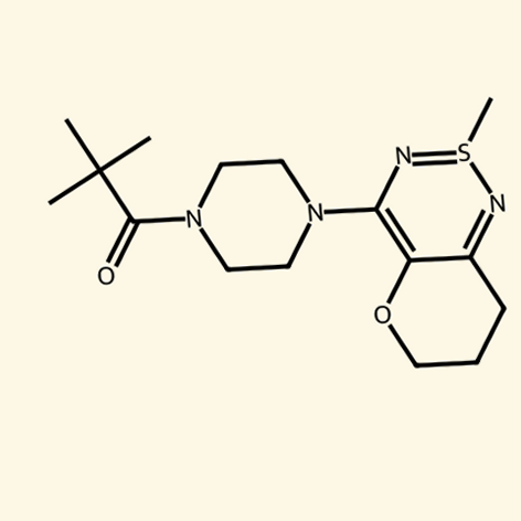 CS1=NC(N2CCN(C(=O)C(C)(C)C)CC2)=C2OCCCC2=N1